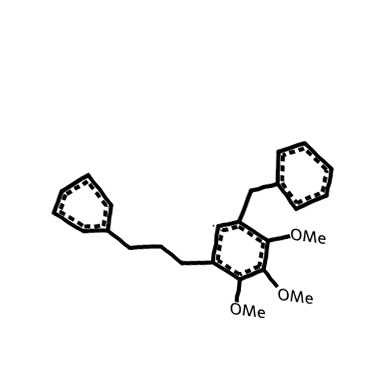 COc1c(CCCc2ccccc2)[c]c(Cc2ccccc2)c(OC)c1OC